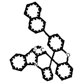 c1ccc2c(c1)Oc1ccc(-c3ccc4ccccc4c3)cc1C21c2ccccc2-n2c3ccccc3c3cccc1c32